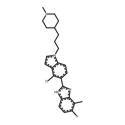 Cc1c(F)ccc2[nH]c(-c3ccc4c(ccn4CCCC4CCN(C)CC4)c3Cl)nc12